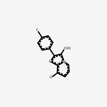 O=Cc1c(-c2ccc(F)cc2)nc2c(Cl)cccn12